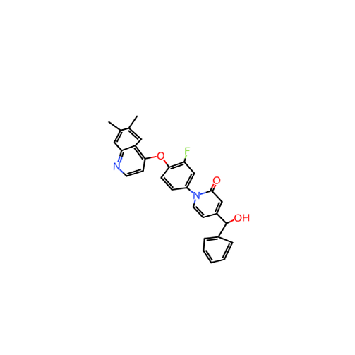 Cc1cc2nccc(Oc3ccc(-n4ccc(C(O)c5ccccc5)cc4=O)cc3F)c2cc1C